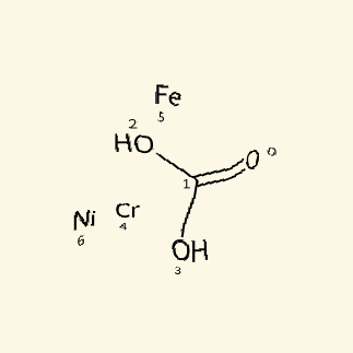 O=C(O)O.[Cr].[Fe].[Ni]